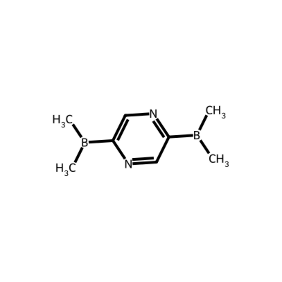 CB(C)c1cnc(B(C)C)cn1